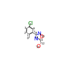 Cc1ccc(Cl)cc1-c1noc(C[O])n1